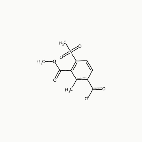 COC(=O)c1c(S(C)(=O)=O)ccc(C(=O)Cl)c1C